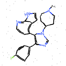 CC(=O)N1CCC(n2cnc(-c3ccc(F)cc3)c2-c2ccnc3[nH]ccc23)CC1